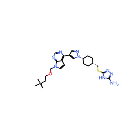 C[Si](C)(C)CCOCn1ccc2c(-c3cnn([C@H]4CC[C@@H](CSc5nnc(N)[nH]5)CC4)c3)ncnc21